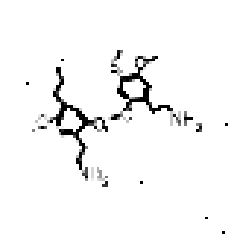 CCCc1cc(OC)c(CCN)cc1OC.COc1cc(SC)c(OC)cc1CCN